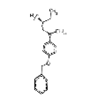 CC[C@H](C)CN(C)c1ccc(OCc2ccccc2)cc1